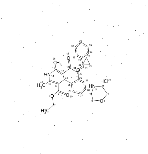 C1COCCN1.CCOC(=O)C1=C(C)NC(C)=C(C(=O)NC2CC2)C1c1ccccc1OCc1ccccc1.Cl